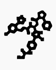 COC(=O)Nc1ccc(-c2nc([C@H](CC(=O)N3CCCC3c3ccncc3)NC(=O)C=Cc3cc(Cl)ccc3-n3cnnn3)[nH]c2Cl)cc1